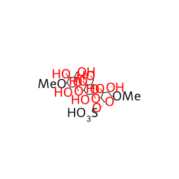 CO[C@@H]1O[C@H](COS(=O)(=O)O)[C@@H](O[C@@H]2OC(CO)[C@H](O)[C@H](O[C@@H]3OC(CO)[C@H](O)[C@H](OC)C3O)C2O)C(O)C1O